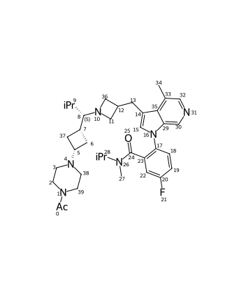 CC(=O)N1CCN([C@H]2C[C@@H]([C@H](C(C)C)N3CC(Cc4cn(-c5ccc(F)cc5C(=O)N(C)C(C)C)c5cncc(C)c45)C3)C2)CC1